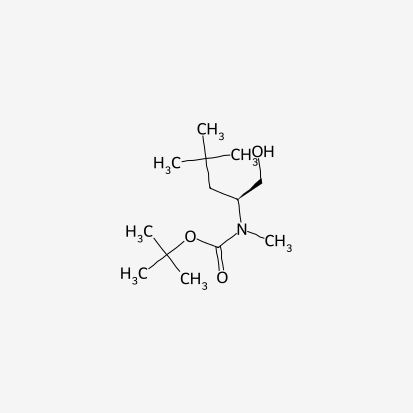 CN(C(=O)OC(C)(C)C)[C@H](CO)CC(C)(C)C